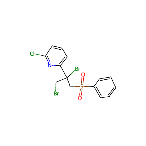 O=S(=O)(CC(Br)(CBr)c1cccc(Cl)n1)c1ccccc1